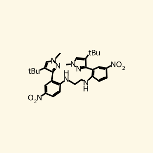 Cn1cc(C(C)(C)C)c(-c2cc([N+](=O)[O-])ccc2NCCNc2ccc([N+](=O)[O-])cc2-c2nn(C)cc2C(C)(C)C)n1